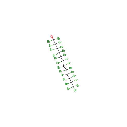 [O]C(Br)(Br)C(Br)(Br)C(Br)(Br)C(Br)(Br)C(Br)(Br)C(Br)(Br)C(Br)(Br)C(Br)(Br)C(Br)(Br)C(Br)(Br)C(Br)(Br)C(Br)(Br)Br